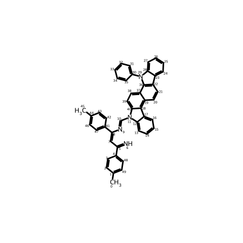 Cc1ccc(C(=N)/C=C(\N=C\n2c3ccccc3c3c4ccc5c6ccccc6n(-c6ccccc6)c5c4ccc32)c2ccc(C)cc2)cc1